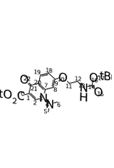 CCOC(=O)c1cn(N(C)C)c2cc(OCCNC(=O)OC(C)(C)C)ccc2c1=O